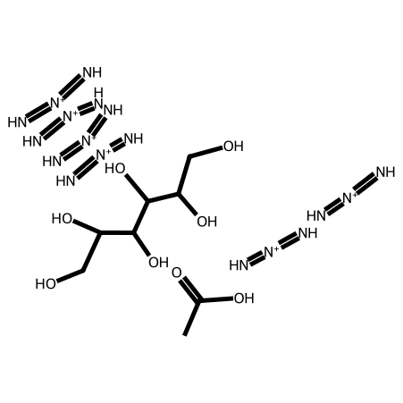 CC(=O)O.N=[N+]=N.N=[N+]=N.N=[N+]=N.N=[N+]=N.N=[N+]=N.N=[N+]=N.OCC(O)C(O)C(O)C(O)CO